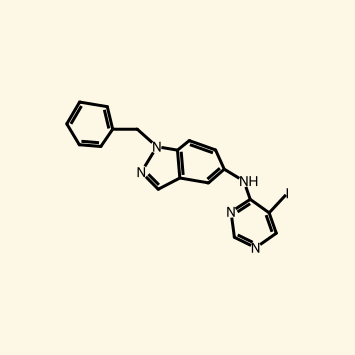 Ic1cncnc1Nc1ccc2c(cnn2Cc2ccccc2)c1